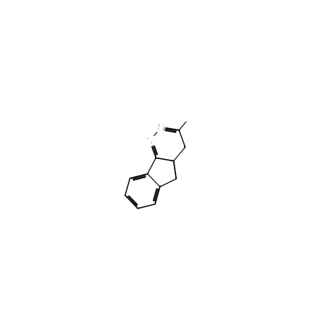 ClC1=NN=C2c3ccccc3CC2C1